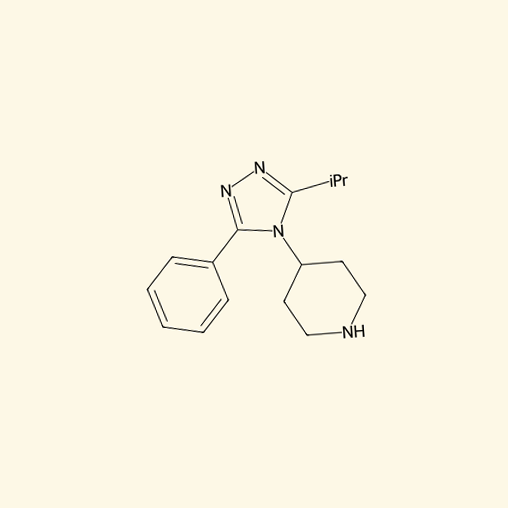 CC(C)c1nnc(-c2ccccc2)n1C1CCNCC1